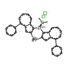 CC(C)c1cc2c(-c3ccccc3)ccccc-2[c]1[Zr+2]([c]1c2ccccc(-c3ccccc3)c-2cc1C(C)C)=[Si](C)C.[Cl-].[Cl-]